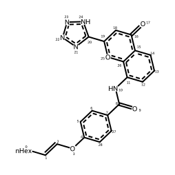 CCCCCCC=COc1ccc(C(=O)Nc2cccc3c(=O)cc(-c4nnn[nH]4)oc23)cc1